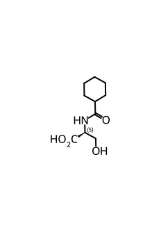 O=C(N[C@@H](CO)C(=O)O)C1CCCCC1